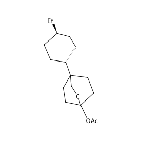 CC[C@H]1CC[C@H](C23CCC(OC(C)=O)(CC2)CC3)CC1